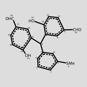 CSc1cccc(C(c2cc(C=O)ccc2O)c2cc(C=O)ccc2O)c1